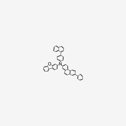 c1ccc(-c2ccc3c(ccc4cc(N(c5ccc(-c6cccc7ccccc67)cc5)c5ccc6c(c5)oc5ccccc56)ccc43)c2)cc1